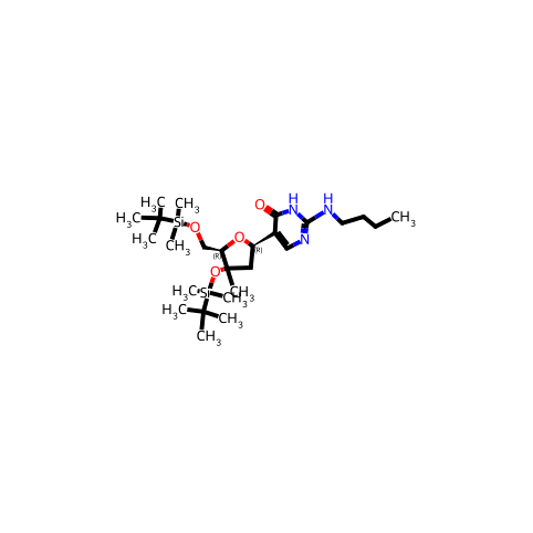 CCCCNc1ncc([C@H]2CC(C)(O[Si](C)(C)C(C)(C)C)[C@@H](CO[Si](C)(C)C(C)(C)C)O2)c(=O)[nH]1